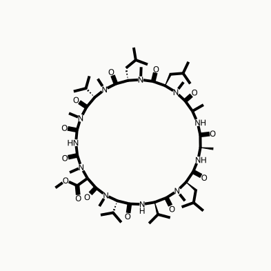 COC(=O)C1C(=O)N(C)[C@@H](C(C)C)C(=O)N[C@H](C(C)C)C(=O)N(C)[C@H](CC(C)C)C(=O)N[C@H](C)C(=O)NC(C)C(=O)N(C)[C@H](CC(C)C)C(=O)N(C)[C@@H](CC(C)C)C(=O)N(C)[C@@H](C(C)C)C(=O)N(C)C(=O)NC(=O)N1C